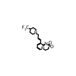 O=S1(=O)CCN2C=CC=C(C=CCN3CCC(C(F)(F)F)CC3)C2=N1